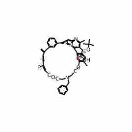 C=C1/C=C\C(F)=C/COCCN(Cc2ccccc2)CCOc2cc(ccc2C)-c2c([C@H](OC(C)(C)C)C(=O)O)c(C)nc3cc(nn23)-c2cccc1c2